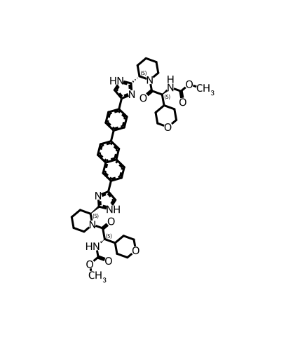 COC(=O)N[C@H](C(=O)N1CCCC[C@H]1c1nc(-c2ccc(-c3ccc4cc(-c5c[nH]c([C@@H]6CCCCN6C(=O)[C@@H](NC(=O)OC)C6CCOCC6)n5)ccc4c3)cc2)c[nH]1)C1CCOCC1